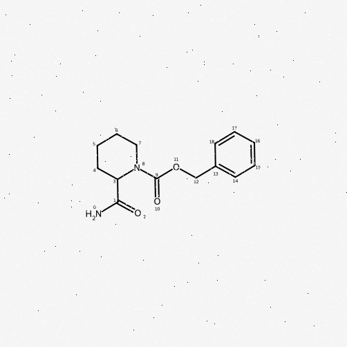 NC(=O)C1CCCCN1C(=O)OCc1ccccc1